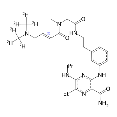 [2H]C([2H])([2H])N(C/C=C/C(=O)N(C)C(C)C(=O)NCCc1cccc(Nc2nc(NC(C)C)c(CC)nc2C(N)=O)c1)C([2H])([2H])[2H]